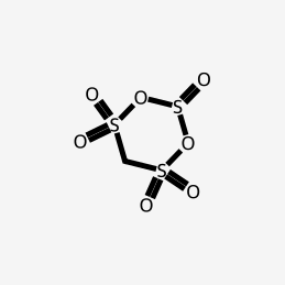 O=S1OS(=O)(=O)CS(=O)(=O)O1